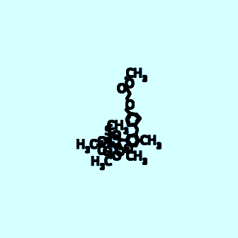 CCOC(=O)CCOCc1ccc(Cc2cc(C3O[C@H](SC)[C@@H](OC(C)=O)[C@H](OC(C)=O)[C@H]3OC(C)=O)ccc2C)cc1